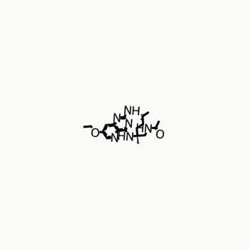 CCCC[C@](C)(CNC(C)=O)Nc1nc(N)nc2cc(OCC)cnc12